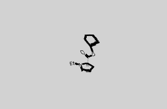 CCN1CCC[C@H]1C(=O)OC1CCCC1